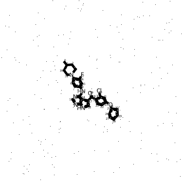 CC1CCN(c2ccc(Nc3ncnc4[nH]cc(C(=O)c5ccc(Oc6ccccc6)cc5Cl)c34)cc2F)CC1